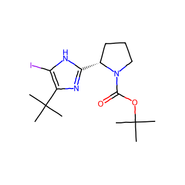 CC(C)(C)OC(=O)N1CCC[C@H]1c1nc(C(C)(C)C)c(I)[nH]1